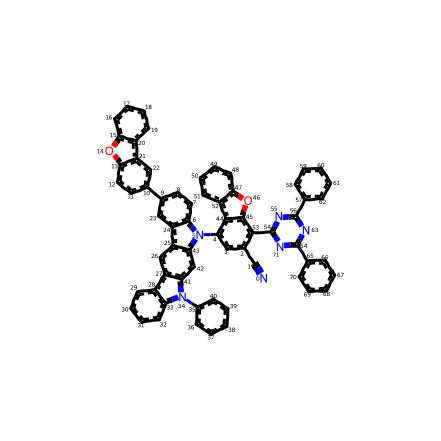 N#Cc1cc(-n2c3ccc(-c4ccc5oc6ccccc6c5c4)cc3c3cc4c5ccccc5n(-c5ccccc5)c4cc32)c2c(oc3ccccc32)c1-c1nc(-c2ccccc2)nc(-c2ccccc2)n1